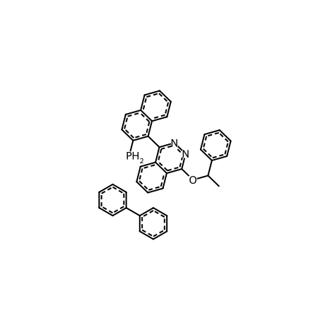 CC(Oc1nnc(-c2c(P)ccc3ccccc23)c2ccccc12)c1ccccc1.c1ccc(-c2ccccc2)cc1